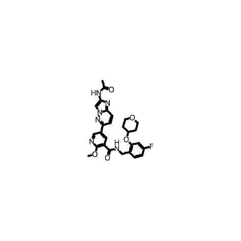 COc1ncc(-c2ccc3nc(NC(C)=O)cn3n2)cc1C(=O)NCc1ccc(F)cc1OC1CCOCC1